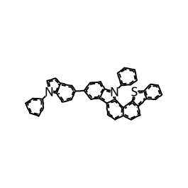 c1ccc(-n2ccc3cc(-c4ccc5c(c4)c4ccc6ccc7c8ccccc8sc7c6c4n5-c4ccccc4)ccc32)cc1